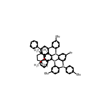 CC(C)c1cc2c3c(c1)N(c1ccc(C(C)(C)C)cc1-c1cc(-c4ccccc4)cc(-c4ccccc4)c1)c1cc4c(cc1B3c1cc(C(C)(C)C)ccc1N2c1ccc(C(C)(C)C)cc1)C(C)(C)CCC4(C)C